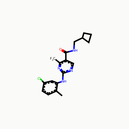 Cc1ccc(Cl)cc1Nc1ncc(C(=O)NCC2CCC2)c(C(F)(F)F)n1